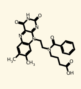 Cc1cc2nc3c(=O)[nH]c(=O)nc-3n(CCN(CCCC(=O)O)C(=O)c3ccccc3)c2cc1C